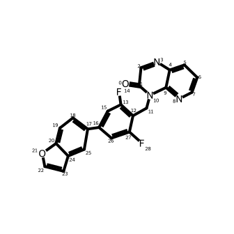 O=c1cnc2cccnc2n1Cc1c(F)cc(-c2ccc3occc3c2)cc1F